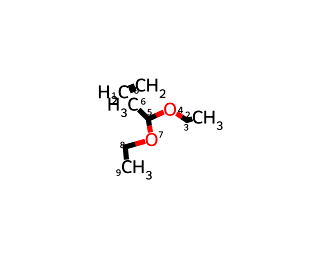 C=C.CCOC(C)OCC